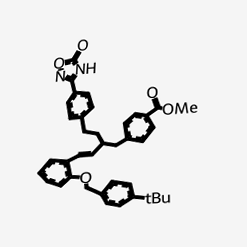 COC(=O)c1ccc(CC(C=Cc2ccccc2OCc2ccc(C(C)(C)C)cc2)CCc2ccc(-c3noc(=O)[nH]3)cc2)cc1